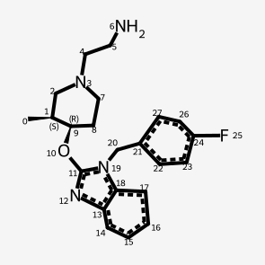 C[C@H]1CN(CCN)CC[C@H]1Oc1nc2ccccc2n1Cc1ccc(F)cc1